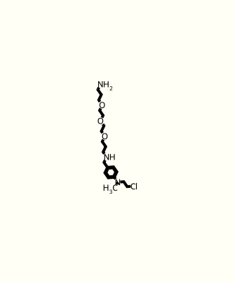 CN(CCCl)c1ccc(CNCCCOCCOCCOCCCN)cc1